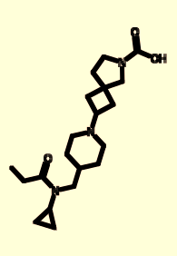 CCC(=O)N(CC1CCN(C2CC3(CCN(C(=O)O)C3)C2)CC1)C1CC1